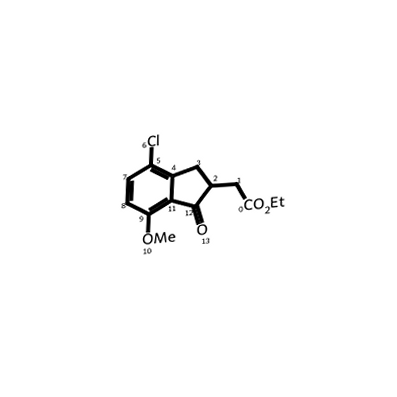 CCOC(=O)CC1Cc2c(Cl)ccc(OC)c2C1=O